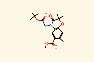 COC(=O)c1cc2c(cc1C)OC(C)(C)C(=O)N2CC(=O)OC(C)(C)C